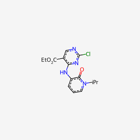 CCOC(=O)c1cnc(Cl)nc1Nc1cccn(C(C)C)c1=O